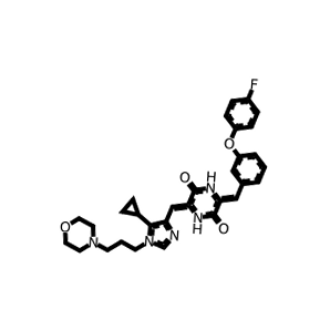 O=c1[nH]/c(=C\c2ncn(CCCN3CCOCC3)c2C2CC2)c(=O)[nH]/c1=C\c1cccc(Oc2ccc(F)cc2)c1